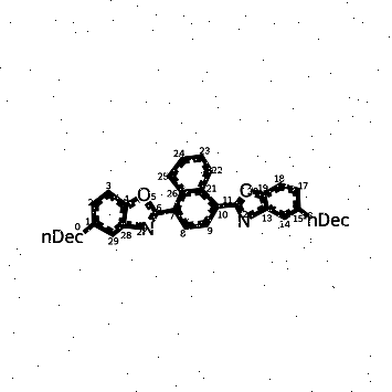 CCCCCCCCCCc1ccc2oc(-c3ccc(-c4nc5cc(CCCCCCCCCC)ccc5o4)c4ccccc34)nc2c1